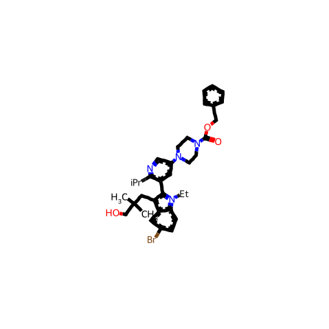 CCn1c(-c2cc(N3CCN(C(=O)OCc4ccccc4)CC3)cnc2C(C)C)c(CC(C)(C)CO)c2cc(Br)ccc21